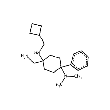 CN(C)C1(c2ccccc2)CCC(CN)(NCC2CCC2)CC1